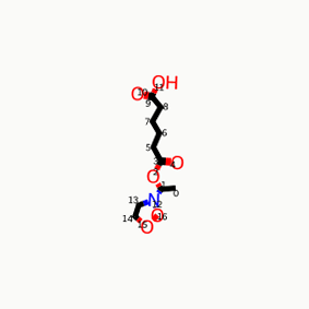 CC(OC(=O)CCCCC(=O)O)N1CCOO1